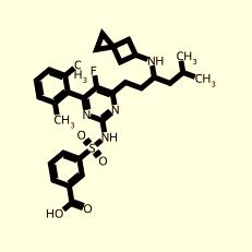 Cc1cccc(C)c1-c1nc(NS(=O)(=O)c2cccc(C(=O)O)c2)nc(CCC(CC(C)C)NC2CC3(CC3)C2)c1F